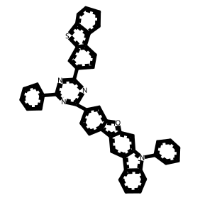 c1ccc(-c2nc(-c3ccc4c(c3)oc3cc5c(cc34)c3ccccc3n5-c3ccccc3)nc(-c3ccc4c(c3)sc3ccccc34)n2)cc1